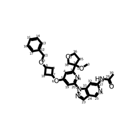 COC1(c2cc(OC3CC(OCc4ccccc4)C3)cc(-n3ncc4cnc(NC(C)=O)cc43)n2)CCOC1